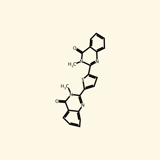 Cn1c(-c2ccc(-c3nc4ccccc4c(=O)n3C)s2)nc2ccccc2c1=O